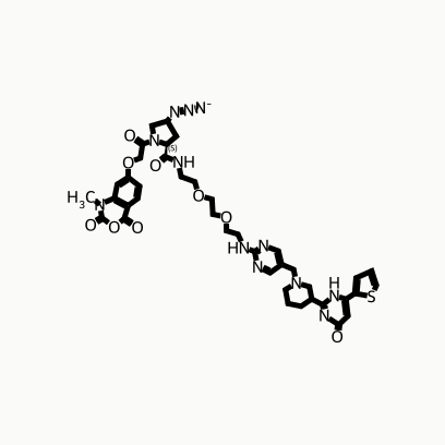 Cn1c(=O)oc(=O)c2ccc(OCC(=O)N3CC(N=[N+]=[N-])C[C@H]3C(=O)NCCOCCOCCNc3ncc(CN4CCCC(c5nc(=O)cc(-c6cccs6)[nH]5)C4)cn3)cc21